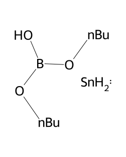 CCCCOB(O)OCCCC.[SnH2]